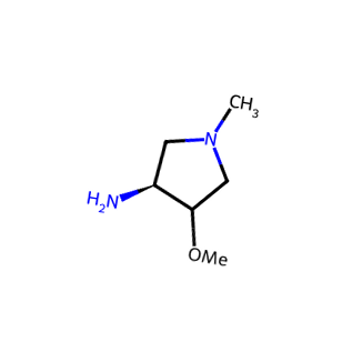 COC1CN(C)C[C@@H]1N